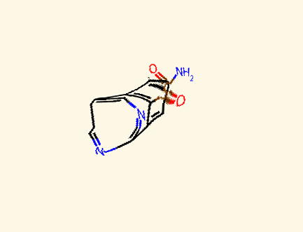 NS(=O)(=O)c1c2[c]ccc1-c1ncc-2cn1